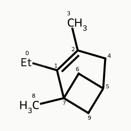 [CH2]CC1=C(C)CC2CC1(C)C2